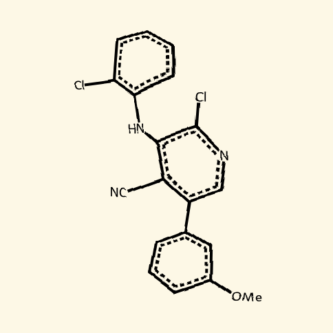 COc1cccc(-c2cnc(Cl)c(Nc3ccccc3Cl)c2C#N)c1